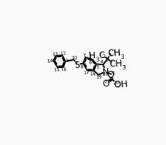 CC(C)(C)C1c2ccc(SCc3ccccc3)cc2CN1OC(=O)O